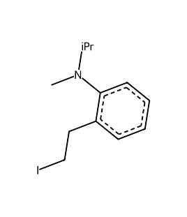 CC(C)N(C)c1ccccc1CCI